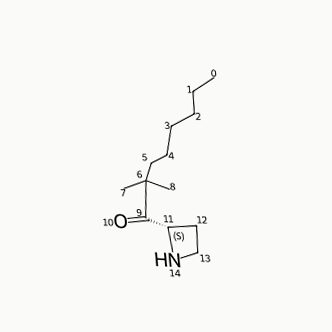 CCCCCCC(C)(C)C(=O)[C@@H]1CCN1